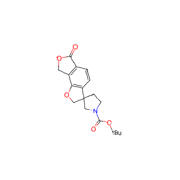 CC(C)(C)OC(=O)N1CCC2(COc3c2ccc2c3COC2=O)C1